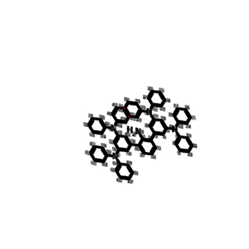 Nc1c(-c2cc(N(c3ccccc3)c3ccccc3)cc(N(c3ccccc3)c3ccccc3)c2)cccc1-c1cc(N(c2ccccc2)c2ccccc2)cc(N(c2ccccc2)c2ccccc2)c1